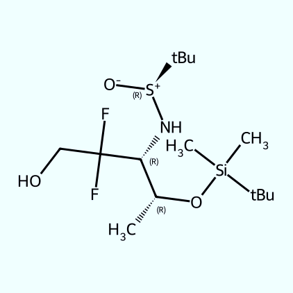 C[C@@H](O[Si](C)(C)C(C)(C)C)[C@@H](N[S@@+]([O-])C(C)(C)C)C(F)(F)CO